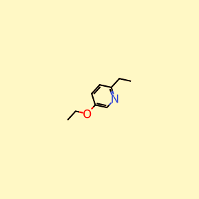 CCOc1ccc(CC)nc1